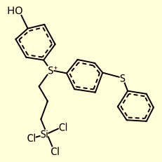 Oc1ccc([S+](CCC[Si](Cl)(Cl)Cl)c2ccc(Sc3ccccc3)cc2)cc1